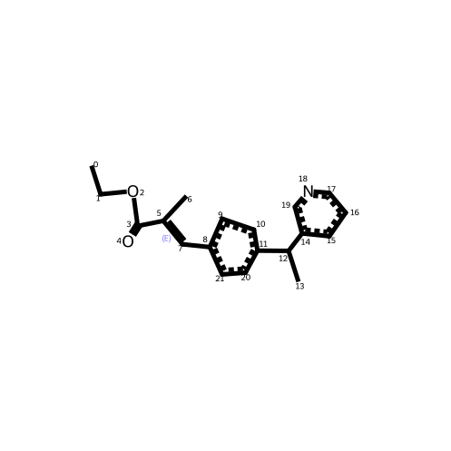 CCOC(=O)/C(C)=C/c1ccc(C(C)c2cccnc2)cc1